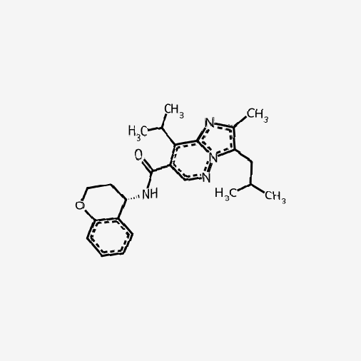 Cc1nc2c(C(C)C)c(C(=O)N[C@H]3CCOc4ccccc43)cnn2c1CC(C)C